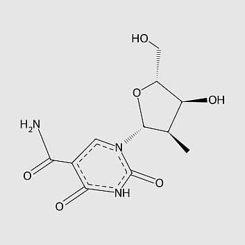 C[C@@H]1[C@H](O)[C@@H](CO)O[C@H]1n1cc(C(N)=O)c(=O)[nH]c1=O